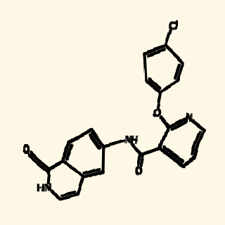 O=C(Nc1ccc2c(=O)[nH]ccc2c1)c1cccnc1Oc1ccc(Cl)cc1